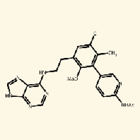 COc1c(CCNc2ncnc3[nH]cnc23)cc(Cl)c(C)c1-c1ccc(NC(C)=O)nc1